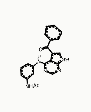 CC(=O)Nc1cccc(Nc2ncnc3[nH]cc(C(=O)c4ccccc4)c23)c1